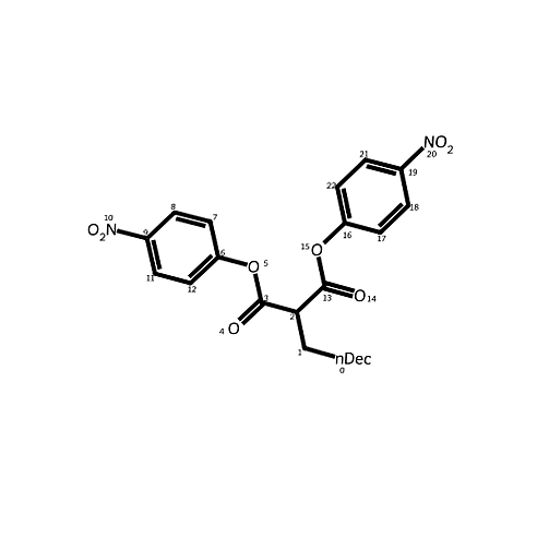 CCCCCCCCCCCC(C(=O)Oc1ccc([N+](=O)[O-])cc1)C(=O)Oc1ccc([N+](=O)[O-])cc1